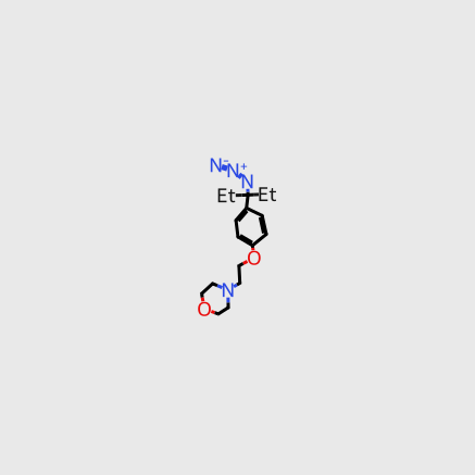 CCC(CC)(N=[N+]=[N-])c1ccc(OCCN2CCOCC2)cc1